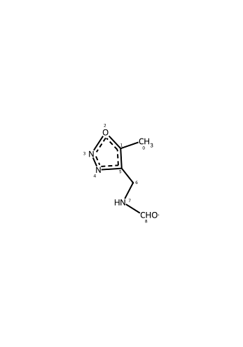 Cc1onnc1CN[C]=O